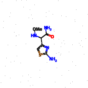 CONC(C(N)=O)c1csc(N)n1